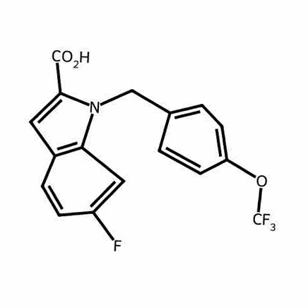 O=C(O)c1cc2ccc(F)cc2n1Cc1ccc(OC(F)(F)F)cc1